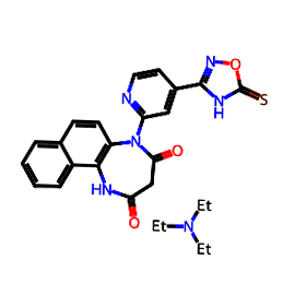 CCN(CC)CC.O=C1CC(=O)N(c2cc(-c3noc(=S)[nH]3)ccn2)c2ccc3ccccc3c2N1